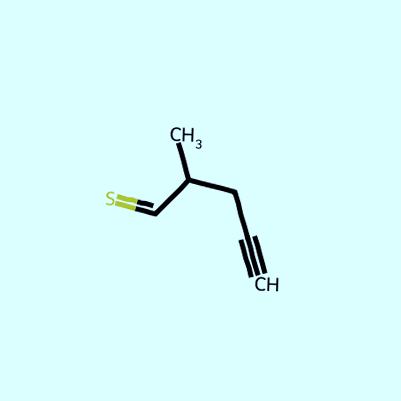 C#CCC(C)C=S